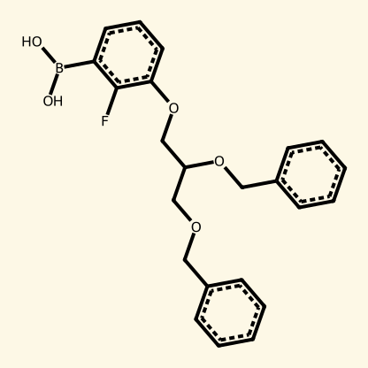 OB(O)c1cccc(OCC(COCc2ccccc2)OCc2ccccc2)c1F